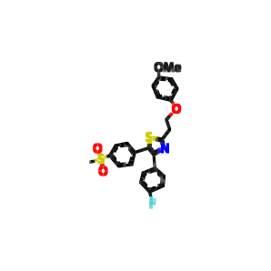 COc1ccc(OCCc2nc(-c3ccc(F)cc3)c(-c3ccc(S(C)(=O)=O)cc3)s2)cc1